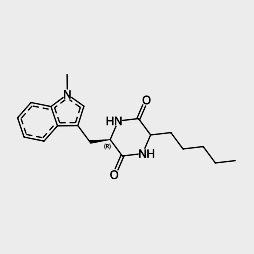 CCCCCC1NC(=O)[C@@H](Cc2cn(C)c3ccccc23)NC1=O